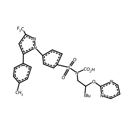 Cc1ccc(-c2cc(C(F)(F)F)nn2-c2ccc(S(=O)(=O)N(CC(Oc3ncccn3)C(C)(C)C)C(=O)O)cc2)cc1